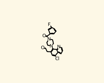 O=CCc1cc(Cl)c2cccnc2c1N1CCN(C(=O)c2cccc(F)c2)CC1